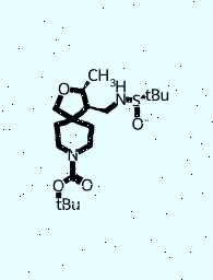 C[C@@H]1OCC2(CCN(C(=O)OC(C)(C)C)CC2)[C@@H]1CN[S@+]([O-])C(C)(C)C